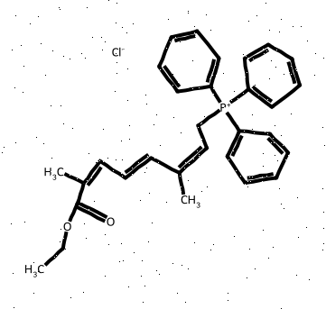 CCOC(=O)C(C)=CC=CC(C)=CC[P+](c1ccccc1)(c1ccccc1)c1ccccc1.[Cl-]